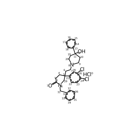 Cl.O=C1CCC(CCN2CCC(O)(c3ccccc3)CC2)(c2ccc(Cl)c(Cl)c2)CN1Cc1ccccc1